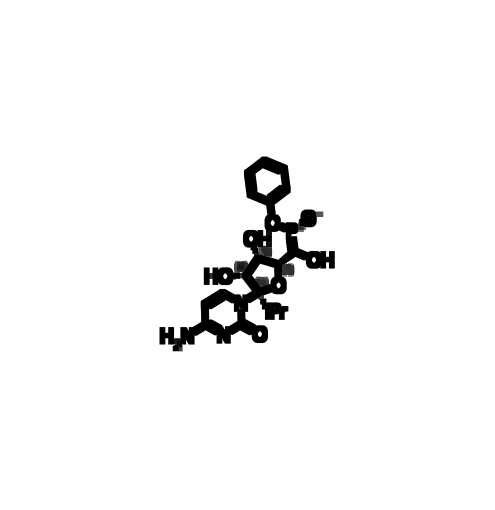 CC(C)[C@@]1(n2ccc(N)nc2=O)O[C@H](C(O)=[P+]([O-])Oc2ccccc2)[C@@H](O)[C@H]1O